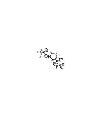 CC(C)(C)C(=O)ON1CCC=C(S(=O)(=O)C(F)(F)F)C1